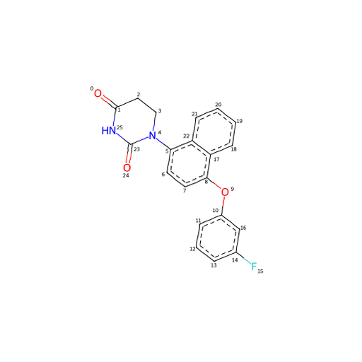 O=C1CCN(c2ccc(Oc3cccc(F)c3)c3ccccc23)C(=O)N1